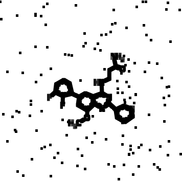 COc1cc(-c2cccc(F)c2F)cc2c(NCCC(N)=O)nc(-c3cccnc3)nc12